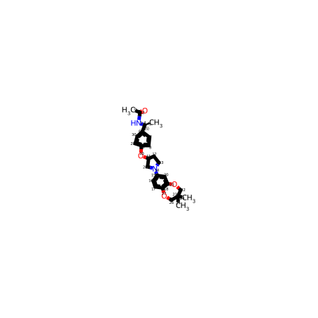 CC(=O)N[C@@H](C)c1ccc(OC2CCN(c3ccc4c(c3)OCC(C)(C)CO4)C2)cc1